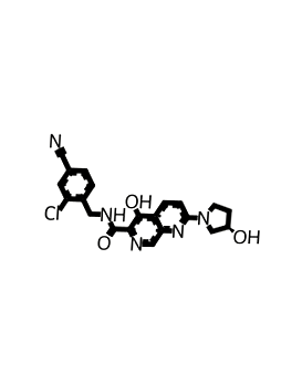 N#Cc1ccc(CNC(=O)c2ncc3nc(N4CC[C@@H](O)C4)ccc3c2O)c(Cl)c1